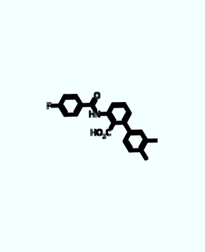 Cc1ccc(-c2cccc(NC(=O)c3ccc(F)cc3)c2C(=O)O)cc1C